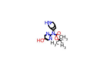 CC(C)(C)OC(=O)N(c1ncc(O)cn1)[C@@H]1CC2CNCC1C2